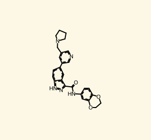 O=C(Nc1ccc2c(c1)OCCO2)c1n[nH]c2ccc(-c3cncc(CN4CCCC4)c3)cc12